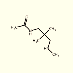 CNCC(C)(C)CNC(C)=O